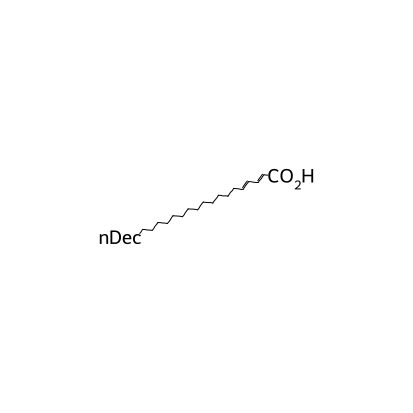 CCCCCCCCCCCCCCCCCCCCCCCC=CC=CC(=O)O